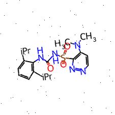 CC(C)c1cccc(C(C)C)c1NC(=O)NS(=O)(=O)c1nnccc1N(C)C